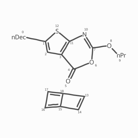 CCCCCCCCCCc1cc2c(=O)oc(OCCC)nc2s1.c1cc2ccc1-2